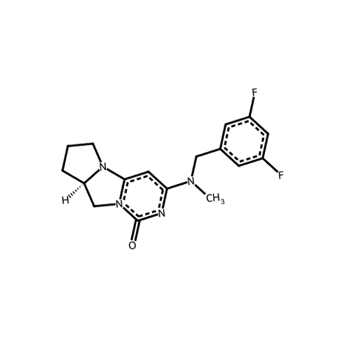 CN(Cc1cc(F)cc(F)c1)c1cc2n(c(=O)n1)C[C@H]1CCCN21